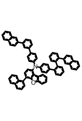 c1cc(-c2ccc(N(c3ccc(-c4ccccc4-c4ccccc4-c4ccc5ccccc5c4)cc3)c3ccc(-c4cccc5ccccc45)c4oc5ccccc5c34)cc2)cc(-c2ccc3ccccc3c2)c1